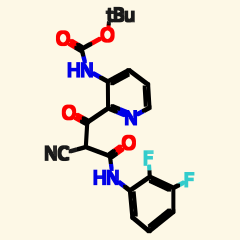 CC(C)(C)OC(=O)Nc1cccnc1C(=O)C(C#N)C(=O)Nc1cccc(F)c1F